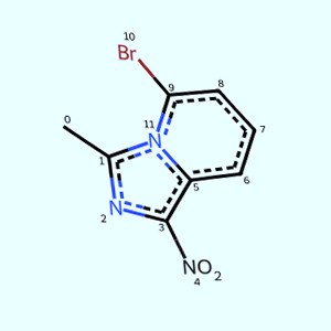 Cc1nc([N+](=O)[O-])c2cccc(Br)n12